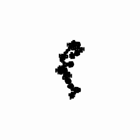 C=C(CCC1=C(CN2CCN(c3ccc(C(=O)NS(=O)(=O)c4ccc(N[C@H](CCN5CC[C@H](NC(=O)CCCCCC(=O)NC(C(=O)N6CCC[C@H]6C(=O)N[C@@H](C)c6ccc(-c7scnc7C)cc6)C(C)(C)C)C5)CSc5ccccc5)c(S(=O)(=O)C(F)(F)F)c4)cc3)CC2)CCC(C)(C)C1)C(F)F